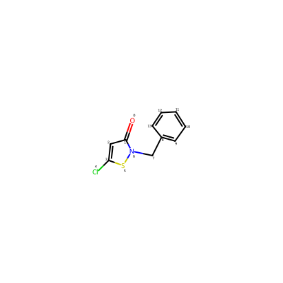 O=c1cc(Cl)sn1Cc1ccccc1